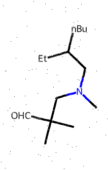 CCCCC(CC)CN(C)CC(C)(C)C=O